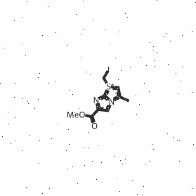 COC(=O)c1cn2c(C)c[s+](CI)c2n1